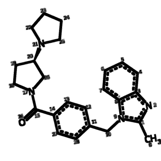 Cc1nc2ccccc2n1Cc1ccc(C(=O)N2CC[C@@H](N3CCCC3)C2)cc1